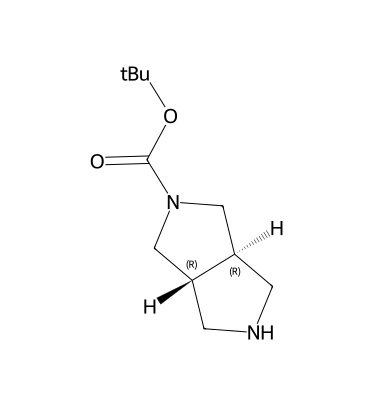 CC(C)(C)OC(=O)N1C[C@H]2CNC[C@@H]2C1